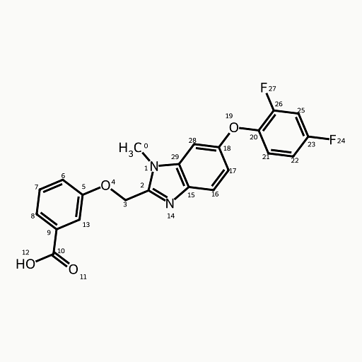 Cn1c(COc2cccc(C(=O)O)c2)nc2ccc(Oc3ccc(F)cc3F)cc21